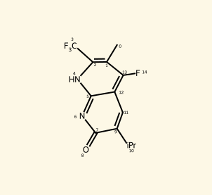 Cc1c(C(F)(F)F)[nH]c2nc(=O)c(C(C)C)cc-2c1F